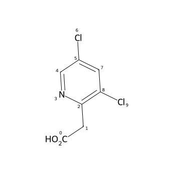 O=C(O)Cc1ncc(Cl)cc1Cl